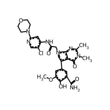 COc1cc(-c2cn(CC(=O)Nc3cc(N4CCOCC4)ncc3Cl)c3nc(C)n(C)c(=O)c23)cc(C(N)=O)c1O